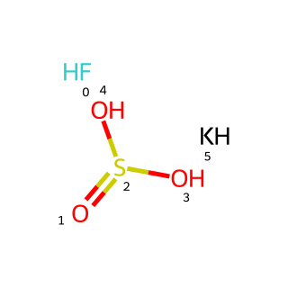 F.O=S(O)O.[KH]